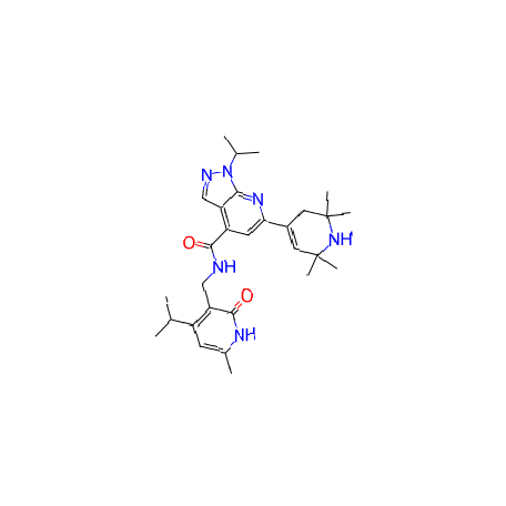 Cc1cc(C(C)C)c(CNC(=O)c2cc(C3=CC(C)(C)NC(C)(C)C3)nc3c2cnn3C(C)C)c(=O)[nH]1